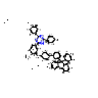 Cc1ccc(-c2nc(-c3ccccc3)nc(-c3ccccc3)n2)cc1CC1C=CC(c2ccc3c(c2)C2(c4ccccc4-c4ccccc42)c2ccccc2-3)=CC1